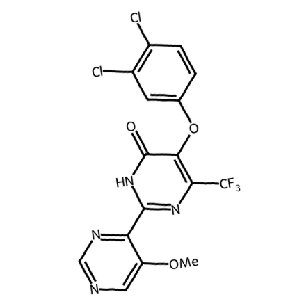 COc1cncnc1-c1nc(C(F)(F)F)c(Oc2ccc(Cl)c(Cl)c2)c(=O)[nH]1